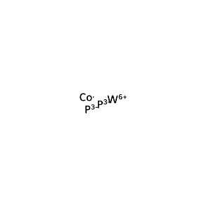 [Co].[P-3].[P-3].[W+6]